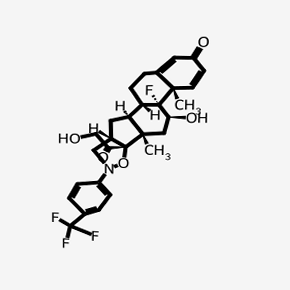 C[C@]12C=CC(=O)C=C1CC[C@H]1[C@@H]3C[C@H]4CN(c5ccc(C(F)(F)F)cc5)O[C@@]4(C(=O)CO)[C@@]3(C)C[C@H](O)[C@@]12F